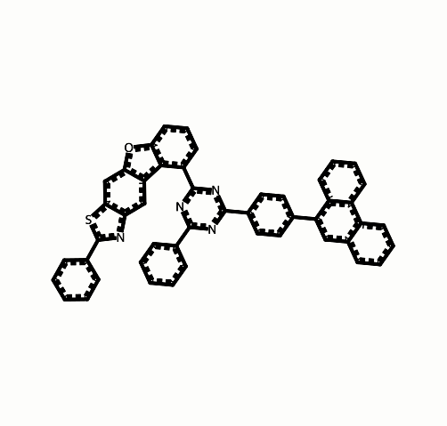 c1ccc(-c2nc(-c3ccc(-c4cc5ccccc5c5ccccc45)cc3)nc(-c3cccc4oc5cc6sc(-c7ccccc7)nc6cc5c34)n2)cc1